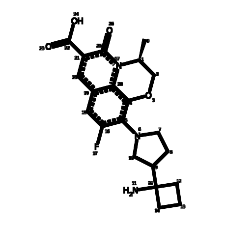 C[C@H]1COc2c(N3CCC(C4(N)CCC4)C3)c(F)cc3cc(C(=O)O)c(=O)n1c23